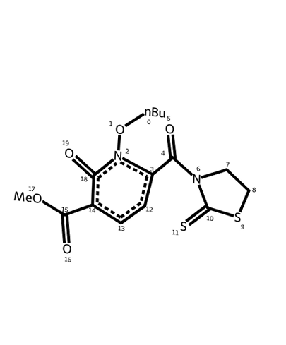 CCCCOn1c(C(=O)N2CCSC2=S)ccc(C(=O)OC)c1=O